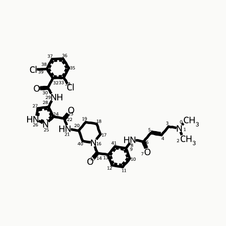 CN(C)C/C=C/C(=O)Nc1cccc(C(=O)N2CCCC(NC(=O)c3n[nH]cc3NC(=O)c3c(Cl)cccc3Cl)C2)c1